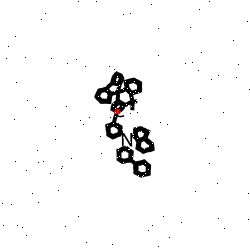 CC1(C)c2ccccc2C2(c3ccccc3-c3ccccc32)c2ccc(-c3cccc(N(c4cccc(-c5ccccc5)c4)c4cccc5ccccc45)c3)cc21